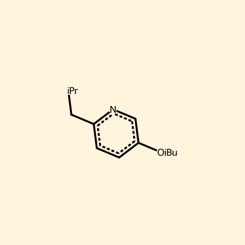 CC(C)COc1ccc(CC(C)C)nc1